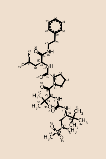 CN(C[C@@H](NC(=O)N[C@H](C(=O)N1CCC[C@H]1C(=O)N[C@@H](CC(F)F)C(=O)NCCc1ccccc1)C(C)(C)C)C(C)(C)C)S(C)(=O)=O